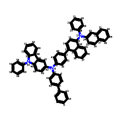 c1ccc(-c2ccc(N(c3ccc(-c4ccc(N(c5ccccc5)c5ccc6ccccc6c5)c5ccccc45)cc3)c3ccc4c(c3)c3ccccc3n4-c3ccccc3)cc2)cc1